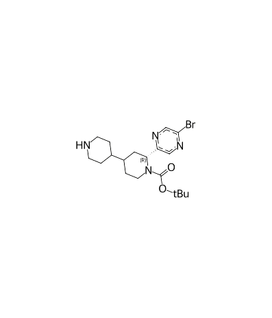 CC(C)(C)OC(=O)N1CCC(C2CCNCC2)C[C@@H]1c1cnc(Br)cn1